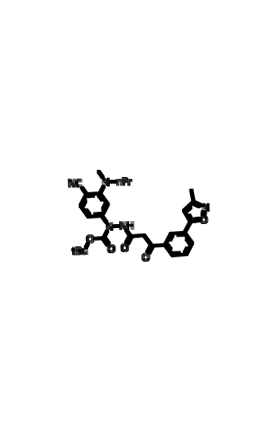 CCCN(C)c1cc(N(NC(=O)CC(=O)c2cccc(-c3cc(C)no3)c2)C(=O)OC(C)(C)C)ccc1C#N